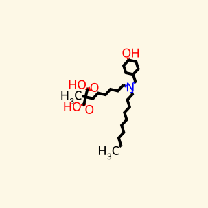 CCCCCCCCCCN(CCCCCCC(C)(C(=O)O)C(=O)O)CC1CCC(O)CC1